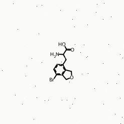 NC(Cc1ccc(Br)c2c1COC2)C(=O)O